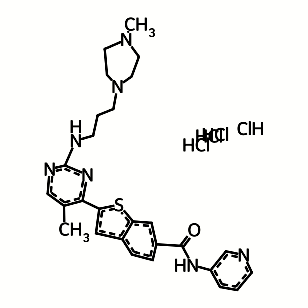 Cc1cnc(NCCCN2CCN(C)CC2)nc1-c1cc2ccc(C(=O)Nc3cccnc3)cc2s1.Cl.Cl.Cl.Cl